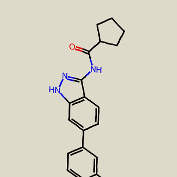 CC(=O)c1cccc(-c2ccc3c(NC(=O)C4CCCC4)n[nH]c3c2)c1